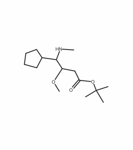 CNC(C1CCCC1)C(CC(=O)OC(C)(C)C)OC